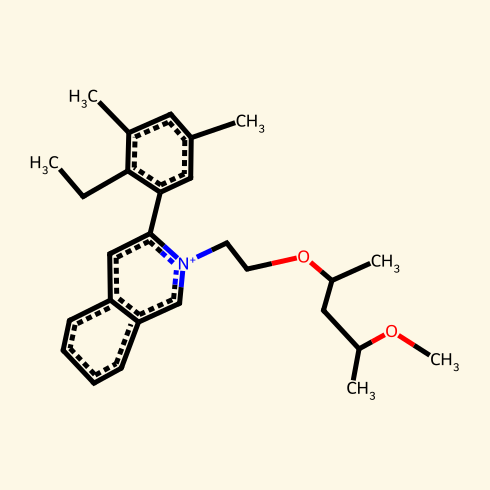 CCc1c(C)cc(C)cc1-c1cc2ccccc2c[n+]1CCOC(C)CC(C)OC